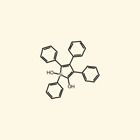 OC1=C(c2ccccc2)C(c2ccccc2)=C(c2ccccc2)[Si]1(O)c1ccccc1